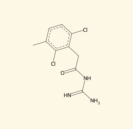 Cc1ccc(Cl)c(CC(=O)NC(=N)N)c1Cl